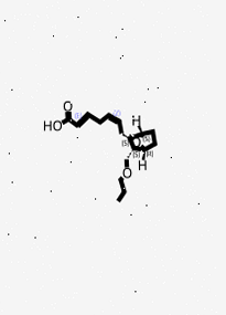 CCCOC[C@@H]1[C@H](C/C=C\C/C=C/C(=O)O)[C@@H]2CC[C@H]1O2